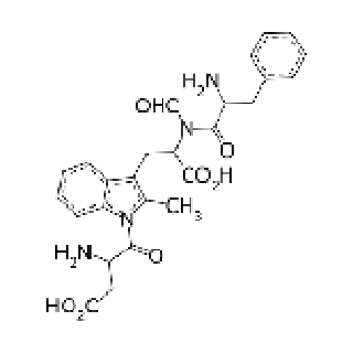 Cc1c(CC(C(=O)O)N(C=O)C(=O)C(N)Cc2ccccc2)c2ccccc2n1C(=O)C(N)CC(=O)O